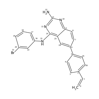 C=Cc1ccc(-c2ccc3nc(N)nc(Nc4cccc(Br)c4)c3c2)cc1